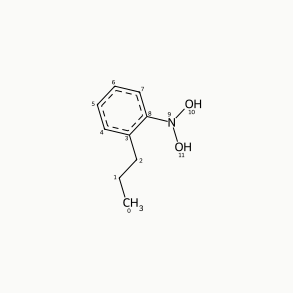 CCCc1ccccc1N(O)O